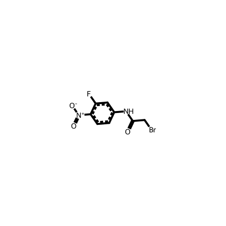 O=C(CBr)Nc1ccc([N+](=O)[O-])c(F)c1